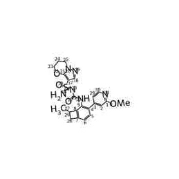 COc1cc(-c2ccc3c(c2NC(=O)N=[S@@](N)(=O)c2cnn4c2OCCC4)[C@H](C)C3)ccn1